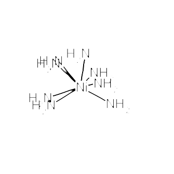 [NH2][Ni]([NH2])([NH2])([NH2])([NH2])([NH2])([NH2])[NH2]